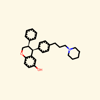 Oc1ccc2c(c1)[C@H](c1ccc(CCCN3CCCCC3)cc1)[C@H](c1ccccc1)CO2